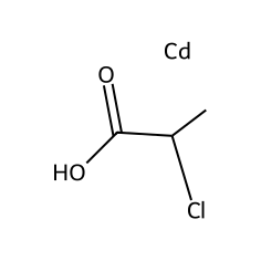 CC(Cl)C(=O)O.[Cd]